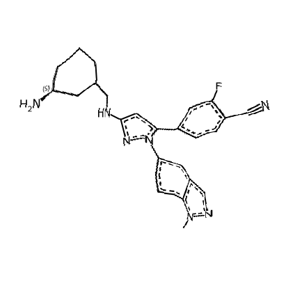 Cn1ncc2cc(-n3nc(NCC4CCC[C@H](N)C4)cc3-c3ccc(C#N)c(F)c3)ccc21